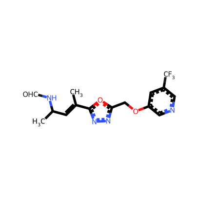 C/C(=C\C(C)NC=O)c1nnc(COc2cncc(C(F)(F)F)c2)o1